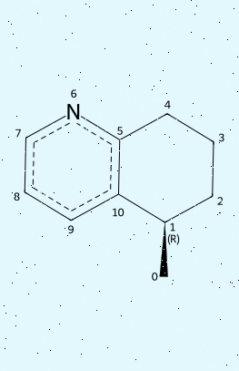 C[C@@H]1CCCc2ncccc21